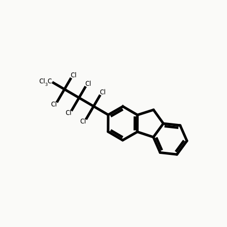 ClC(Cl)(Cl)C(Cl)(Cl)C(Cl)(Cl)C(Cl)(Cl)c1[c]c2c(cc1)-c1ccccc1C2